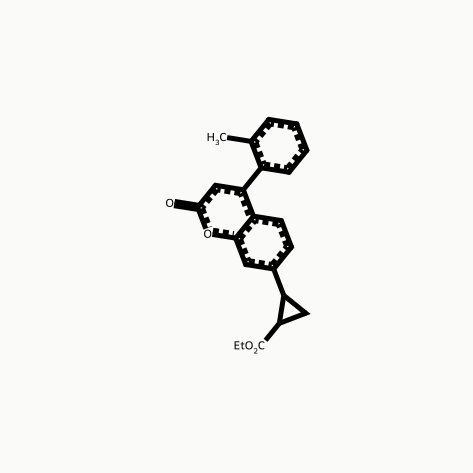 CCOC(=O)C1CC1c1ccc2c(-c3ccccc3C)cc(=O)oc2c1